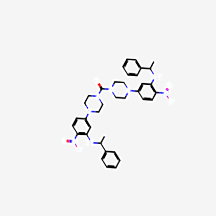 CC(Nc1cc(N2CCN(C(=O)N3CCN(c4ccc([N+](=O)[O-])c(NC(C)c5ccccc5)c4)CC3)CC2)ccc1[N+](=O)[O-])c1ccccc1